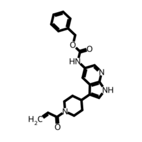 C=CC(=O)N1CCC(c2c[nH]c3ncc(NC(=O)OCc4ccccc4)cc23)CC1